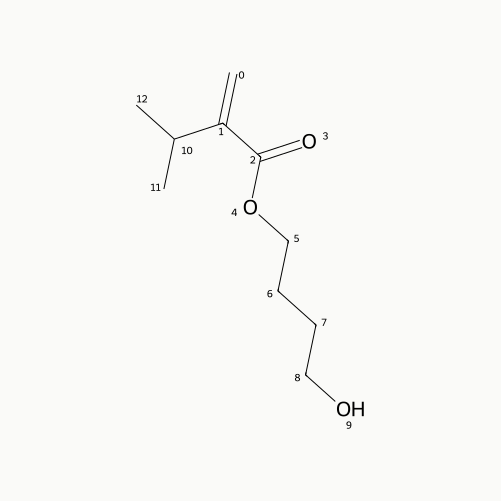 C=C(C(=O)OCCCCO)C(C)C